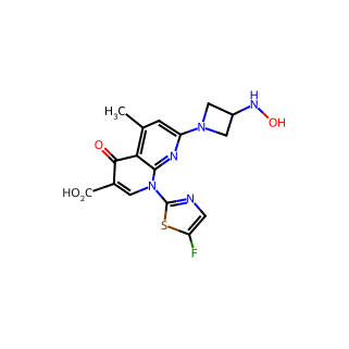 Cc1cc(N2CC(NO)C2)nc2c1c(=O)c(C(=O)O)cn2-c1ncc(F)s1